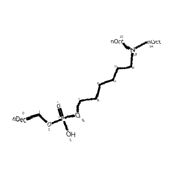 CCCCCCCCCCCOP(=O)(O)OCCCCCCN(CCCCCCCC)CCCCCCCC